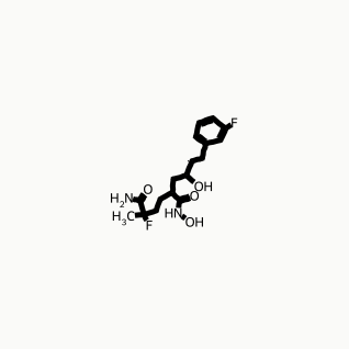 CC(F)(CCC(CC(O)[CH]Cc1cccc(F)c1)C(=O)NO)C(N)=O